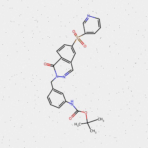 CC(C)(C)OC(=O)Nc1cccc(Cn2ncc3cc(S(=O)(=O)c4cccnc4)ccc3c2=O)c1